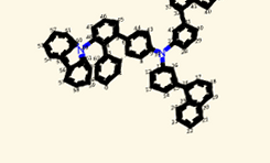 c1ccc(-c2c(-c3ccc(N(c4cccc(-c5cccc6ccccc56)c4)c4cccc(-c5cccc6ccccc56)c4)cc3)cccc2-n2c3ccccc3c3ccccc32)cc1